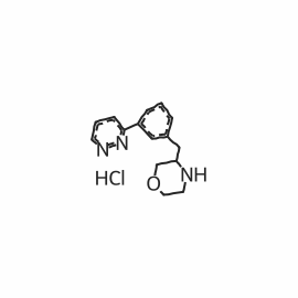 Cl.c1cc(CC2COCCN2)cc(-c2cccnn2)c1